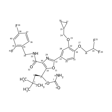 CC(C)(C)C[C@H](OC(N)=O)c1oc(-c2ccc(OCC(F)F)c(OCC3CC3)c2)nc1C(=O)NCc1ccc(F)cc1F